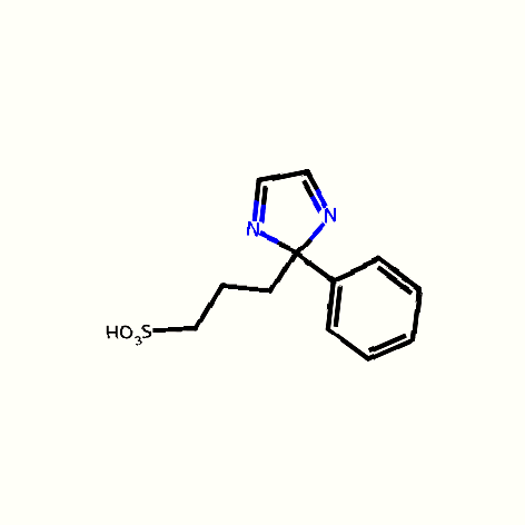 O=S(=O)(O)CCCC1(c2ccccc2)N=CC=N1